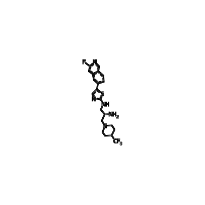 NC(CNc1ncc(-c2ccc3cnc(F)cc3c2)s1)CN1CCC(C(F)(F)F)CC1